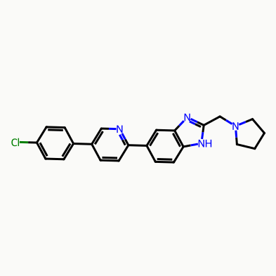 Clc1ccc(-c2ccc(-c3ccc4[nH]c(CN5CCCC5)nc4c3)nc2)cc1